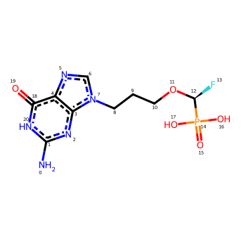 Nc1nc2c(ncn2CCCO[C@@H](F)P(=O)(O)O)c(=O)[nH]1